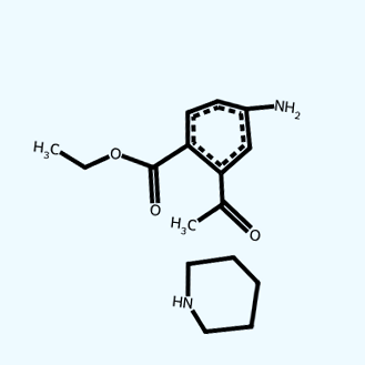 C1CCNCC1.CCOC(=O)c1ccc(N)cc1C(C)=O